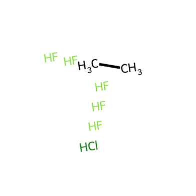 CC.Cl.F.F.F.F.F